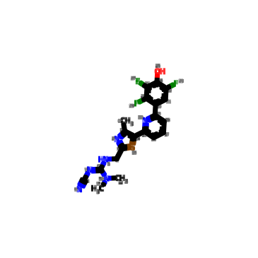 Cc1nc(CN/C(=N/C#N)N(C)C)sc1-c1cccc(-c2cc(F)c(O)c(F)c2F)n1